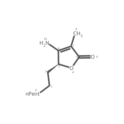 CCCCCCC[C@@H]1OC(=O)C(C)=C1N